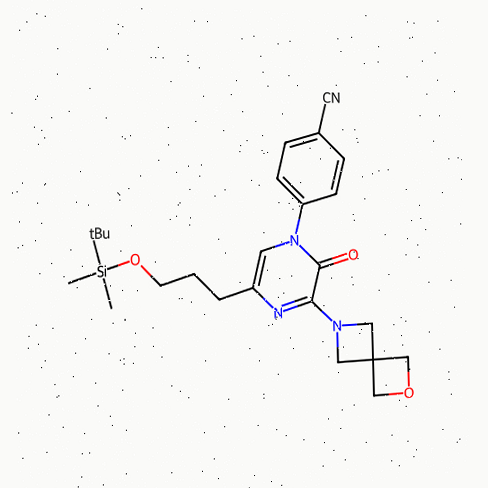 CC(C)(C)[Si](C)(C)OCCCc1cn(-c2ccc(C#N)cc2)c(=O)c(N2CC3(COC3)C2)n1